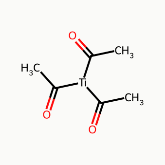 C[C](=O)[Ti]([C](C)=O)[C](C)=O